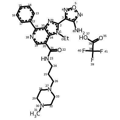 CCn1c(-c2nonc2N)nc2c(-c3ccccc3)ncc(C(=O)NCCCN3CCN(C)CC3)c21.O=C(O)C(F)(F)F